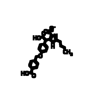 CCCCc1nc([N+](=O)[O-])c(C(C(=O)O)c2ccc(OCc3ccc(C(=O)O)cc3)cc2)[nH]1